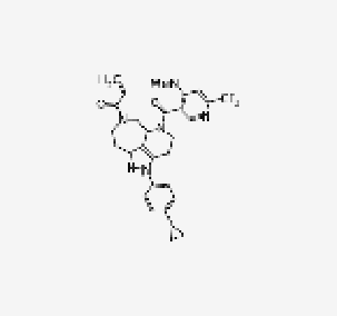 C=CC(=O)N1CCc2nn(-c3ccc(C4CC4)cc3)c3c2C(C1)N(C(=O)c1cnc(C(F)(F)F)cc1NC)CC3